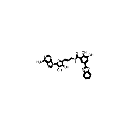 Nc1ncnc2c1ncn2C1OC(C=CCNC(=O)c2cc(-c3nc4ccccc4s3)cc(O)c2O)C(O)[C@H]1O